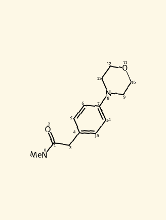 CNC(=O)Cc1ccc(N2CCOCC2)cc1